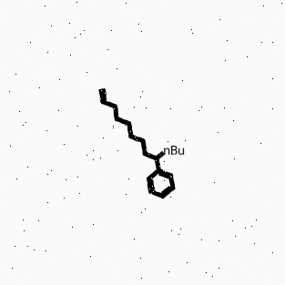 C=CCCCCCCC(CCCC)c1ccccc1